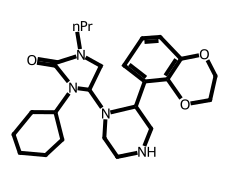 CCCN1CC(N2CCNCC2c2cccc3c2OCCO3)N(C2CCCCC2)C1=O